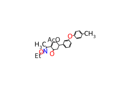 CCON=C(C)C1=C(OC(C)=O)CC(c2cccc(Oc3ccc(C)cc3)c2)CC1=O